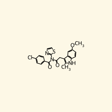 COc1ccc2[nH]c(C)c(CC(=O)N(C(=O)c3ccc(Cl)cc3)c3nccs3)c2c1